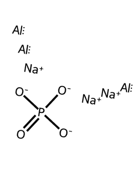 O=P([O-])([O-])[O-].[Al].[Al].[Al].[Na+].[Na+].[Na+]